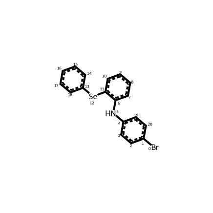 Brc1ccc(Nc2ccccc2[Se]c2ccccc2)cc1